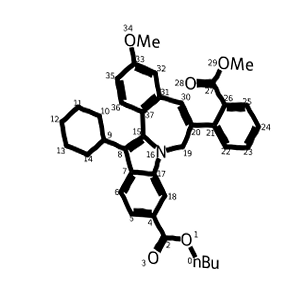 CCCCOC(=O)c1ccc2c(C3CCCCC3)c3n(c2c1)CC(c1ccccc1C(=O)OC)=Cc1cc(OC)ccc1-3